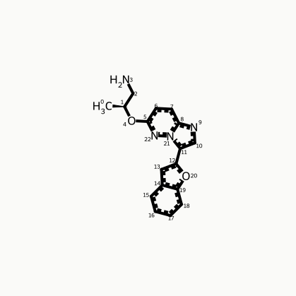 C[C@@H](CN)Oc1ccc2ncc(-c3cc4ccccc4o3)n2n1